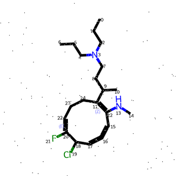 CCCN(CCC)CCC(C)/C1=C(\NC)C=C=CC(Cl)/C(F)=C\CC1